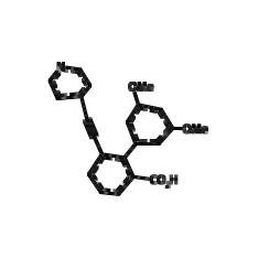 COc1cc(OC)cc(-c2c(C#Cc3ccncc3)cccc2C(=O)O)c1